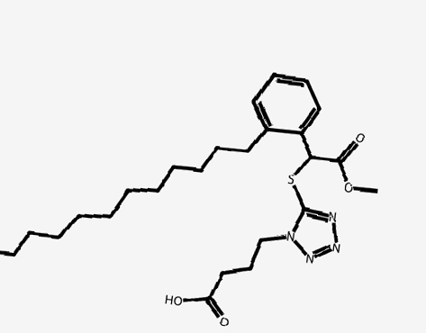 CCCCCCCCCCCCc1ccccc1C(Sc1nnnn1CCCC(=O)O)C(=O)OC